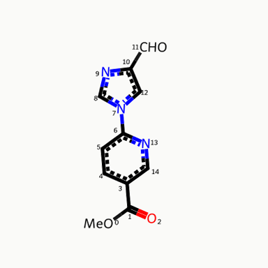 COC(=O)c1ccc(-n2cnc(C=O)c2)nc1